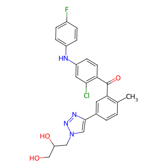 Cc1ccc(-c2cn(CC(O)CO)nn2)cc1C(=O)c1ccc(Nc2ccc(F)cc2)cc1Cl